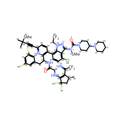 CSN(C(=O)N1CCC(N2CCCCC2)CC1)c1nn(CC(F)(F)F)c2c(-c3ccc(C#CC(C)(C)SC)nc3C(Cc3cc(F)cc(F)c3)NC(=O)CNC3=C(C(=N)C(F)(F)F)[C@@H](C)CC3(F)F)ccc(Cl)c12